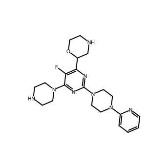 Fc1c(C2CNCCO2)nc(N2CCN(c3ccccn3)CC2)nc1N1CCNCC1